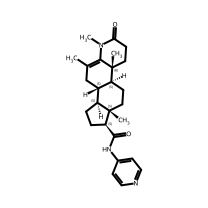 CC1=C2N(C)C(=O)CC[C@]2(C)[C@H]2CC[C@]3(C)[C@@H](C(=O)Nc4ccncc4)CC[C@H]3[C@@H]2C1